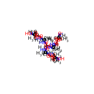 CCC(COC(=O)NC1CC(C)(C)CC(C)(CNC(=O)OCCOc2c(OC)cc(/C=[N+](\C)[O-])cc2OC)C1)(COC(=O)NC1CC(C)(C)CC(C)(CNC(=O)OCCOc2c(OC)cc(/C=[N+](\C)O)cc2OC)C1)COC(=O)NC1CC(C)(C)CC(C)(CNC(=O)OCCOc2c(OC)cc(/C=[N+](\C)O)cc2OC)C1